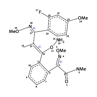 CNC(=O)/C(=N/OC)c1ccccc1/C(ON)=C(C)/C(=N\OC)c1ccc(OC)cc1F